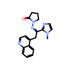 Cn1ccnc1C(Cc1ccnc2ccccc12)=NN1CCCC1=O